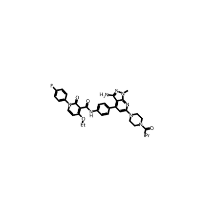 CCOc1ccn(-c2ccc(F)cc2)c(=O)c1C(=O)Nc1ccc(-c2cc(N3CCN(C(=O)C(C)C)CC3)nc3c2c(N)nn3C)cc1